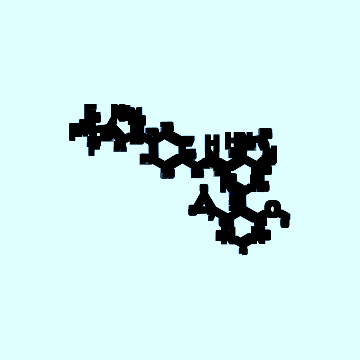 COc1ncnc(C2CC2)c1-c1nc(NCc2ccc(-n3cc(C(F)(F)F)nn3)cc2)c2[nH]cnc2n1